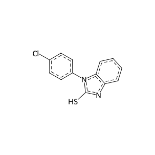 Sc1nc2ccccc2n1-c1ccc(Cl)cc1